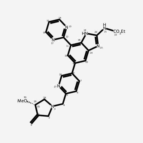 C=C1CN(Cc2ccc(-c3cc(-c4ncccn4)c4[nH]c(NC(=O)OCC)nc4c3)cn2)C[C@H]1OC